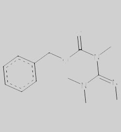 C/N=C(\N(C)C)N(C)C(=O)OCc1ccccc1